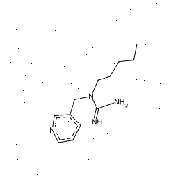 CCCCCN(Cc1cccnc1)C(=N)N